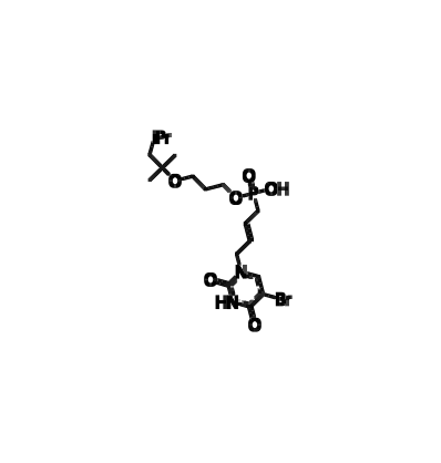 CC(C)CC(C)(C)OCCCOP(=O)(O)C/C=C/Cn1cc(Br)c(=O)[nH]c1=O